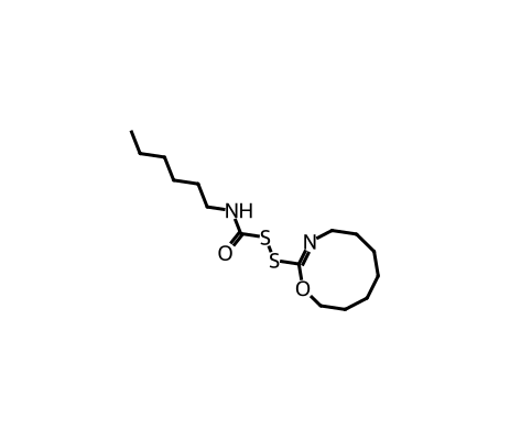 CCCCCCNC(=O)SS/C1=N/CCCCCCCO1